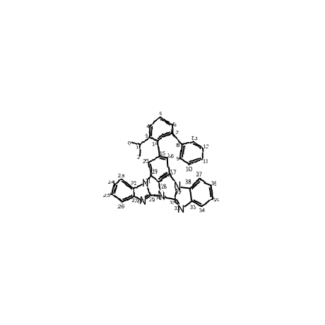 CC(C)c1cccc(-c2ccccc2)c1-c1cc2c3c(c1)n1c4ccccc4nc1n3c1nc3ccccc3n21